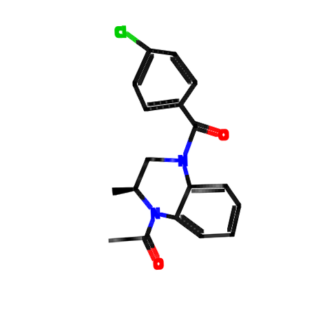 CC(=O)N1c2ccccc2N(C(=O)c2ccc(Cl)cc2)C[C@@H]1C